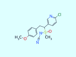 COc1ccc(CC(c2ccc(Cl)nc2)S(C)(=O)=NC#N)cc1